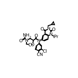 CC(C)n1c(=O)n(CC2CC2)c(=O)c2cc(N(C(=O)C3CN(C(N)=O)CCO3)c3ccc(C#N)c(Cl)c3)ccc21